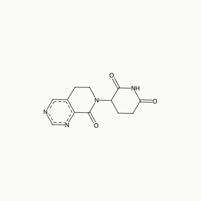 O=C1CCC(N2CCc3cncnc3C2=O)C(=O)N1